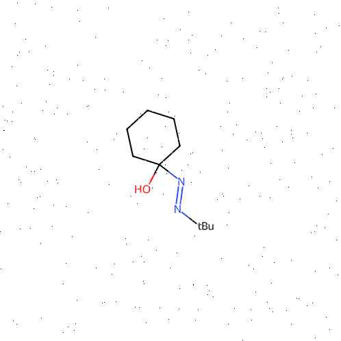 CC(C)(C)/N=N/C1(O)CCCCC1